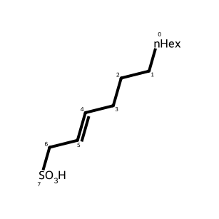 CCCCCCCCCC=CCS(=O)(=O)O